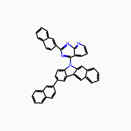 c1ccc2cc(-c3ccc4c(c3)c3cc5ccccc5cc3n4-c3nc(-c4ccc5ccccc5c4)nc4ncccc34)ccc2c1